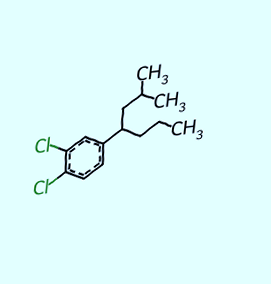 CCCC(CC(C)C)c1ccc(Cl)c(Cl)c1